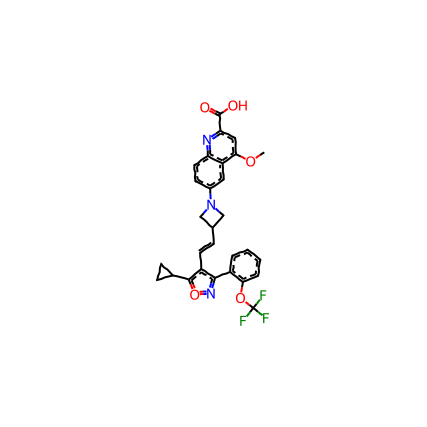 COc1cc(C(=O)O)nc2ccc(N3CC(C=Cc4c(-c5ccccc5OC(F)(F)F)noc4C4CC4)C3)cc12